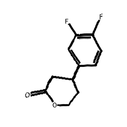 O=C1CC(c2ccc(F)c(F)c2)CCO1